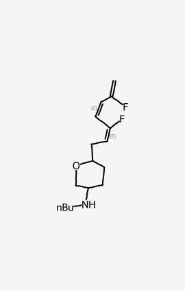 C=C(F)/C=C\C(F)=C/CC1CCC(NCCCC)CO1